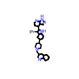 CC(C)c1c(-c2ccnc3[nH]ncc23)[nH]c2ccc(C3CCN(Cc4cnc5ccccc5c4)CC3)cc12